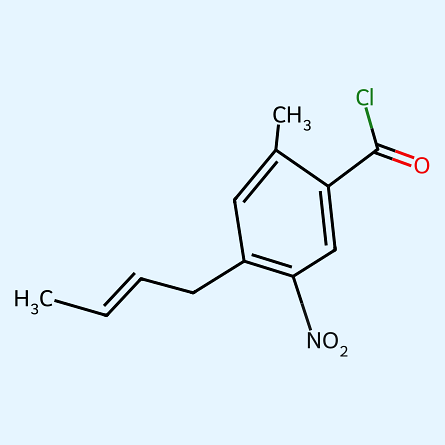 CC=CCc1cc(C)c(C(=O)Cl)cc1[N+](=O)[O-]